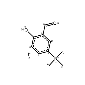 C[N+](C)(C)c1ccc(O)c(C=O)c1.[I-]